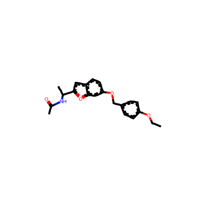 CCOc1ccc(COc2ccc3cc(C(C)NC(C)=O)oc3c2)cc1